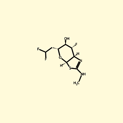 CNC1=N[C@@H]2[C@@H](F)[C@H](O)[C@@H](CC(F)F)O[C@@H]2S1